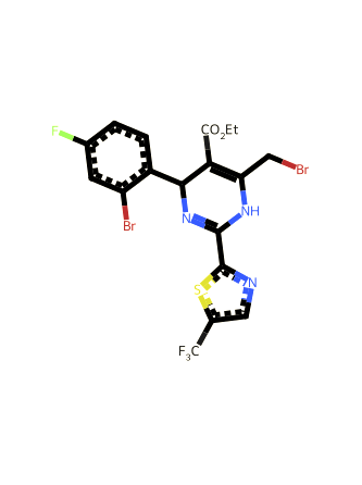 CCOC(=O)C1=C(CBr)NC(c2ncc(C(F)(F)F)s2)=NC1c1ccc(F)cc1Br